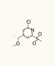 CO[C@H](C)c1cc(Cl)nc(S(C)(=O)=O)c1